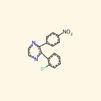 O=[N+]([O-])c1ccc(-c2nccnc2-c2ccccc2F)cc1